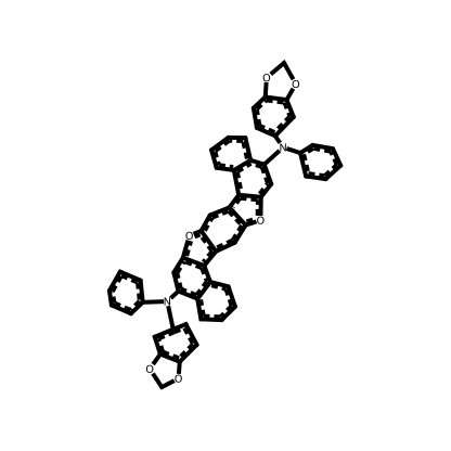 c1ccc(N(c2ccc3c(c2)OCO3)c2cc3oc4cc5c(cc4c3c3ccccc23)oc2cc(N(c3ccccc3)c3ccc4c(c3)OCO4)c3ccccc3c25)cc1